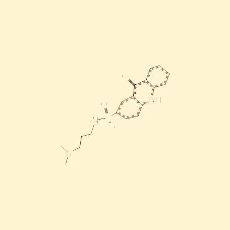 CN(C)CCCNS(=O)(=O)c1ccc2[nH]c3ccccc3c(=O)c2c1